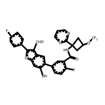 CCCc1cc2oc(-c3ccc(F)cc3)c(C=O)c2cc1-c1ccc(F)c(C(=O)NC2(c3ncccn3)CC(OC(F)(F)F)C2)c1